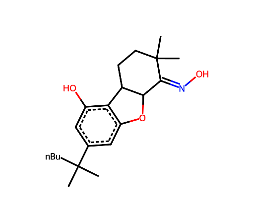 CCCCC(C)(C)c1cc(O)c2c(c1)OC1/C(=N/O)C(C)(C)CCC21